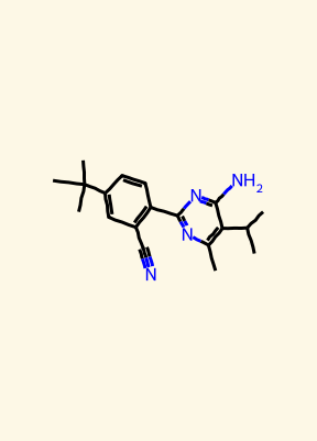 Cc1nc(-c2ccc(C(C)(C)C)cc2C#N)nc(N)c1C(C)C